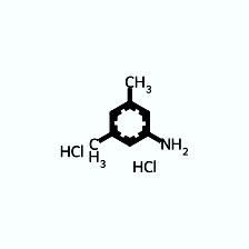 Cc1cc(C)cc(N)c1.Cl.Cl